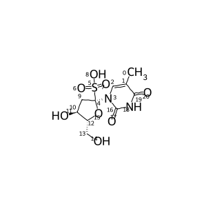 Cc1cn([C@@]2(S(=O)(=O)O)C[C@H](O)[C@@H](CO)O2)c(=O)[nH]c1=O